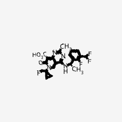 Cc1nc(N[C@H](C)c2cccc(C(F)F)c2F)c2cn(C3(CF)CC3)c(=O)c(C(=O)O)c2n1